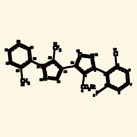 CCOC(=O)c1c(-c2c(F)cccc2Cl)noc1-c1cnn(-c2ccccc2C)c1C(F)(F)F